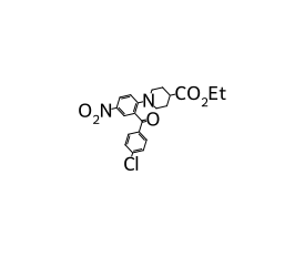 CCOC(=O)C1CCN(c2ccc([N+](=O)[O-])cc2C(=O)c2ccc(Cl)cc2)CC1